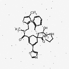 Cc1csc(CN(C)C(=O)C2=CC(c3cnco3)=CC(C(N)=O)([C@H](Cc3ccccc3)[C@@H](O)[C@H]3CCCN3)C2)n1